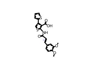 COc1ccc(/C=C/C(=O)Nc2scc(-c3cccs3)c2C(=O)O)cc1OC